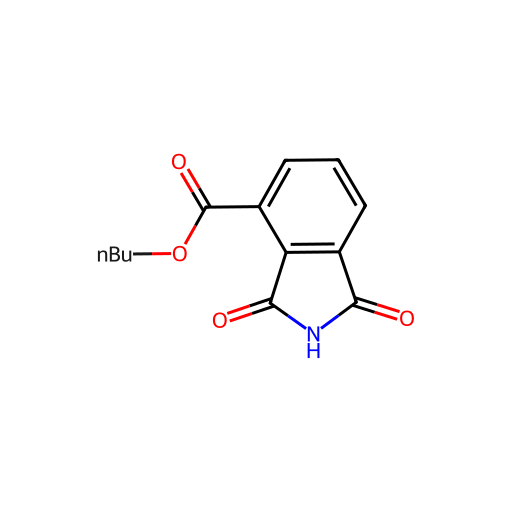 CCCCOC(=O)c1cccc2c1C(=O)NC2=O